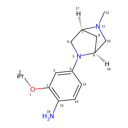 CC(C)Oc1cc(N2C[C@@H]3C[C@H]2CN3C)ccc1N